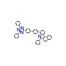 c1ccc(-c2nc(-c3ccccc3)nc(-c3ccc(-c4ccc(-c5cccc6c5nc(-c5ccccc5)c5ccc7ccccc7c56)cc4)cc3)n2)cc1